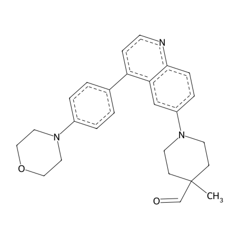 CC1(C=O)CCN(c2ccc3nccc(-c4ccc(N5CCOCC5)cc4)c3c2)CC1